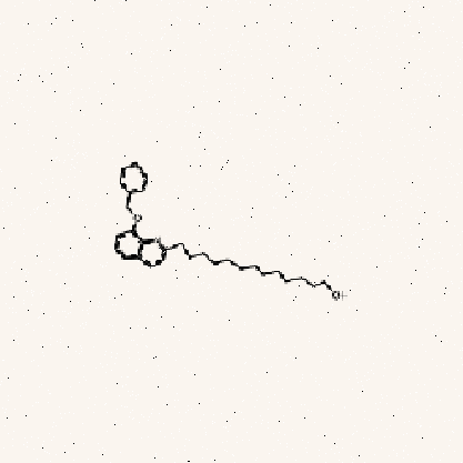 OCCCCCCCCCCCCCc1ccc2cccc(OCc3ccccc3)c2n1